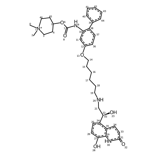 C[N+]1(C)CCC(OC(=O)Nc2cc(OCCCCCCNC[C@@H](O)c3ccc(O)c4[nH]c(=O)ccc34)ccc2-c2ccccc2)CC1